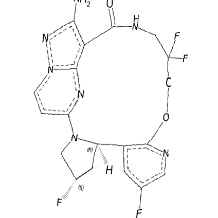 Nc1nn2ccc3nc2c1C(=O)NCC(F)(F)COc1ncc(F)cc1[C@H]1C[C@H](F)CN31